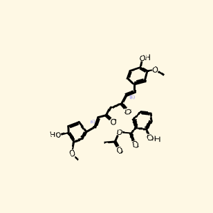 CC(=O)OC(=O)c1ccccc1O.COc1cc(/C=C/C(=O)CC(=O)/C=C/c2ccc(O)c(OC)c2)ccc1O